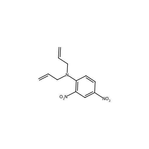 C=CCN(CC=C)c1ccc([N+](=O)[O-])cc1[N+](=O)[O-]